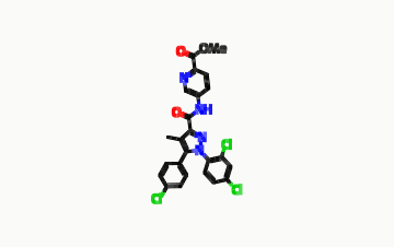 COC(=O)c1ccc(NC(=O)c2nn(-c3ccc(Cl)cc3Cl)c(-c3ccc(Cl)cc3)c2C)cn1